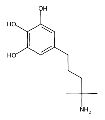 CC(C)(N)CCCc1cc(O)c(O)c(O)c1